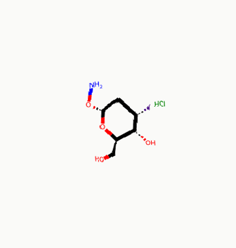 Cl.NO[C@@H]1C[C@H](I)[C@H](O)[C@@H](CO)O1